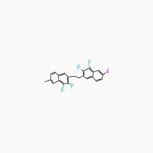 Cc1ccc2cc(CCc3cc4ccc(I)cc4c(F)c3F)c(F)c(F)c2c1